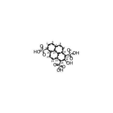 O=S(=O)(O)c1ccc2ccc3c(S(=O)(=O)O)c(O)c(S(=O)(=O)O)c4ccc1c2c34